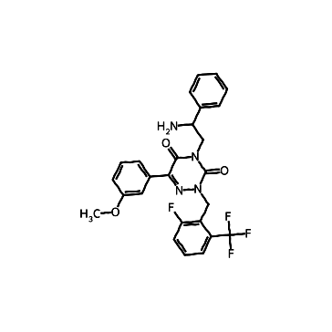 COc1cccc(-c2nn(Cc3c(F)cccc3C(F)(F)F)c(=O)n(CC(N)c3ccccc3)c2=O)c1